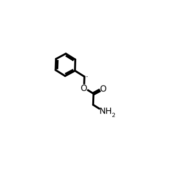 NCC(=O)O[CH]c1ccccc1